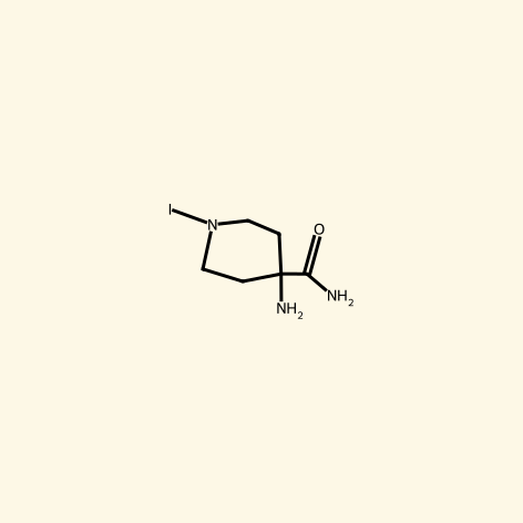 NC(=O)C1(N)CCN(I)CC1